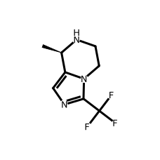 C[C@H]1NCCn2c1cnc2C(F)(F)F